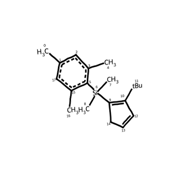 Cc1cc(C)c([Si](C)(C)C2=C(C(C)(C)C)C=CC2)c(C)c1